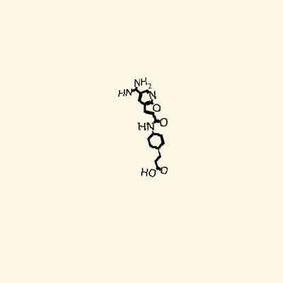 N=C(N)c1cnc2oc(C(=O)N[C@H]3CC[C@H](CCC(=O)O)CC3)cc2c1